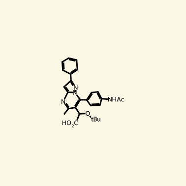 CC(=O)Nc1ccc(-c2c(C(OC(C)(C)C)C(=O)O)c(C)nc3cc(-c4ccccc4)nn23)cc1